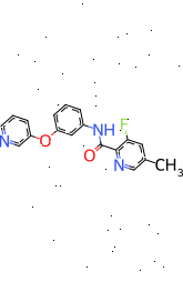 Cc1cnc(C(=O)Nc2cccc(Oc3cccnc3)c2)c(F)c1